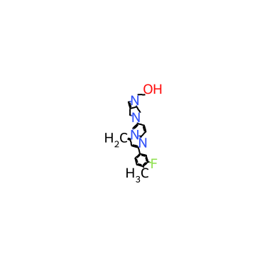 C=C1C=C(c2ccc(C)c(F)c2)N=C2C=CC(N3CC4=CN(CCO)C4C3)=CN12